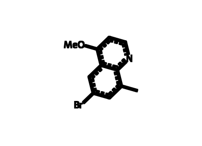 COc1ccnc2c(C)cc(Br)cc12